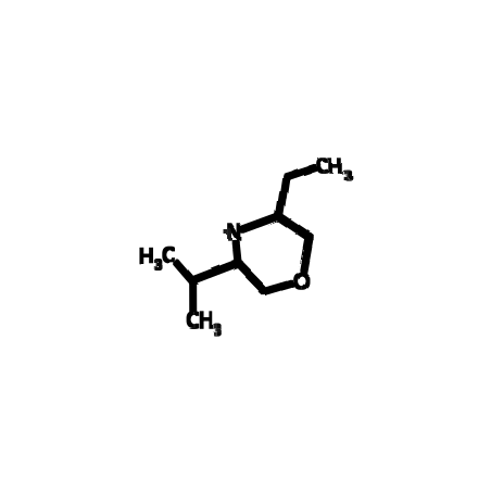 CCC1COCC(C(C)C)[N]1